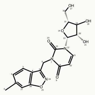 Cc1ccc2c(Cn3c(=O)ccn([C@@H]4O[C@H](CO)C(O)[C@@H]4O)c3=O)noc2c1